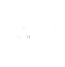 c1ccc(-c2cccc(-c3nc(-c4cccc(-c5ccccc5)c4)nc(-c4ccc5c(c4)-c4c(ccc6ccccc46)C54C5CC6CC(C5)CC4C6)n3)c2)cc1